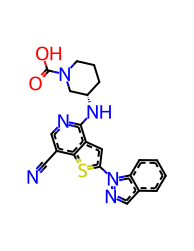 N#Cc1cnc(N[C@H]2CCCN(C(=O)O)C2)c2cc(-n3ncc4ccccc43)sc12